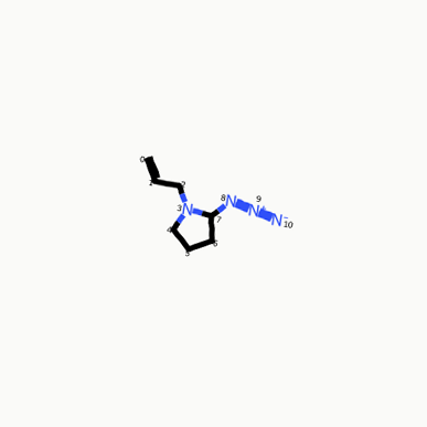 C=CCN1CCCC1N=[N+]=[N-]